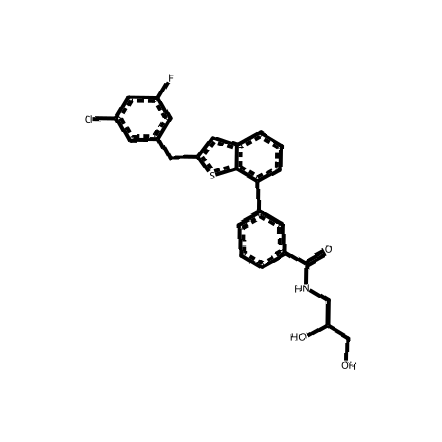 O=C(NCC(O)CO)c1cccc(-c2cccc3cc(Cc4cc(F)cc(Cl)c4)sc23)c1